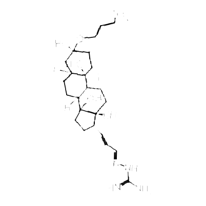 C[C@]12CC[C@@](O)(OCCCN)C[C@H]1CC[C@@H]1[C@@H]2CC[C@]2(C)[C@@H](/C=C/C=N/NC(=N)N)CC[C@]12O